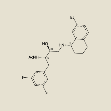 CCc1ccc2c(c1)[C@@H](NC[C@H](O)[C@H](Cc1cc(F)cc(F)c1)NC(C)=O)CCC2